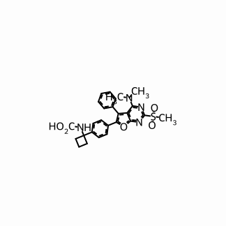 CN(C)c1nc(S(C)(=O)=O)nc2oc(-c3ccc(C4(NC(=O)O)CCC4)cc3)c(-c3ccccc3)c12